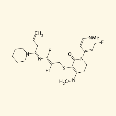 C=CC/C(=N\C(F)=C(/CC)CSC1=C(N=C)CCN(C(/C=C\NC)=C/CF)C1=O)N1CCCCC1